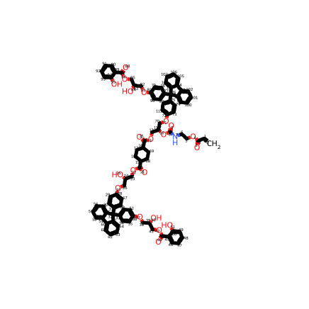 C=CC(=O)OCCNC(=O)OC(COC(=O)C1CCC(C(=O)OCC(O)COc2ccc(C3(c4ccc(OCC(O)COC(=O)c5ccccc5O)cc4)c4ccccc4-c4ccccc43)cc2)CC1)COc1ccc(C2(c3ccc(OCC(O)COC(=O)c4ccccc4O)cc3)c3ccccc3-c3ccccc32)cc1